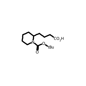 CC(C)(C)OC(=O)N1CCCCC1CCCC(=O)O